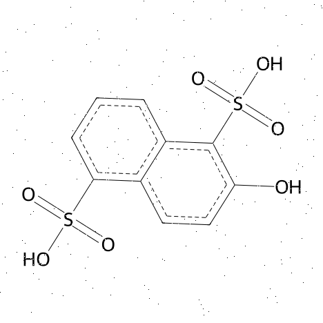 O=S(=O)(O)c1cccc2c(S(=O)(=O)O)c(O)ccc12